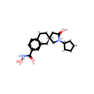 O=C(NO)c1ccc2c(c1)C[C@@]1(CC2)CC(=O)N(C2CCCC2)C1